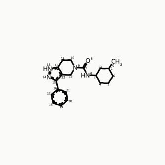 CC1CCCC(NC(=O)N2CCc3[nH]nc(-c4ccccc4)c3C2)C1